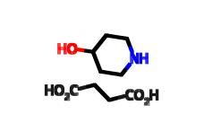 O=C(O)CCC(=O)O.OC1CCNCC1